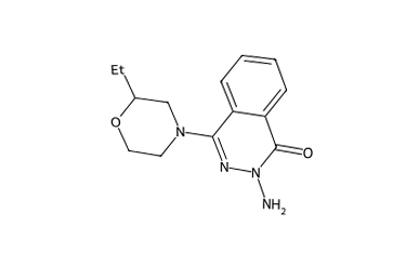 CCC1CN(c2nn(N)c(=O)c3ccccc23)CCO1